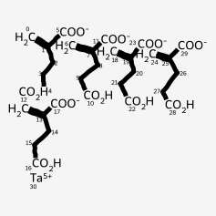 C=C(CCC(=O)O)C(=O)[O-].C=C(CCC(=O)O)C(=O)[O-].C=C(CCC(=O)O)C(=O)[O-].C=C(CCC(=O)O)C(=O)[O-].C=C(CCC(=O)O)C(=O)[O-].[Ta+5]